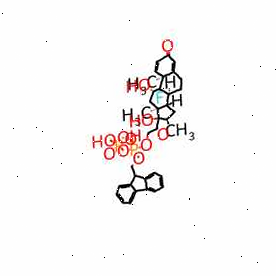 C[C@@H]1C[C@H]2[C@@H]3CCC4=CC(=O)C=C[C@]4(C)[C@@]3(F)[C@@H](O)C[C@]2(C)[C@@]1(O)C(=O)COP(=O)(OCC1c2ccccc2-c2ccccc21)OP(=O)(O)O